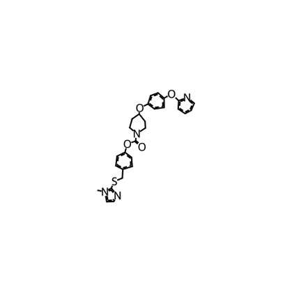 Cn1ccnc1SCc1ccc(OC(=O)N2CCC(Oc3ccc(Oc4ccccn4)cc3)CC2)cc1